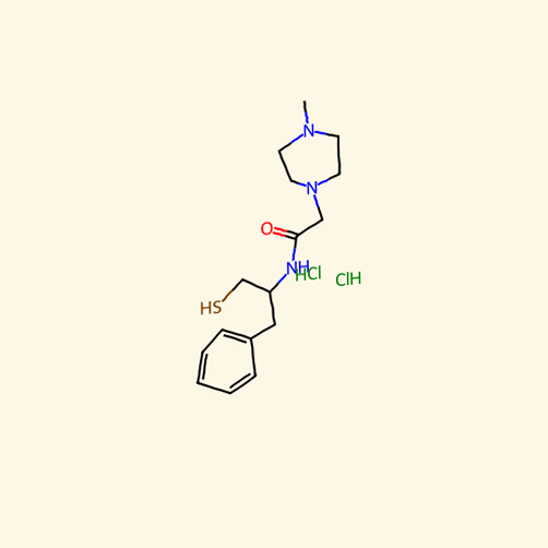 CN1CCN(CC(=O)NC(CS)Cc2ccccc2)CC1.Cl.Cl